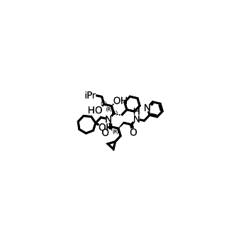 CC(C)C[C@H](O)[C@H](O)[C@H](CC1CCCCC1)N(CC1(O)CCCCCC1)C(=O)[C@@H](CC(=O)NCc1ccccn1)CC1CC1